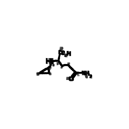 NC(=O)CCC(NC1CC1)C(=O)O